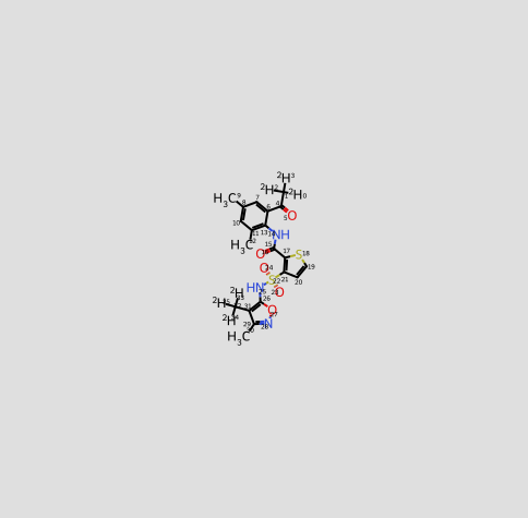 [2H]C([2H])([2H])C(=O)c1cc(C)cc(C)c1NC(=O)c1sccc1S(=O)(=O)Nc1onc(C)c1C([2H])([2H])[2H]